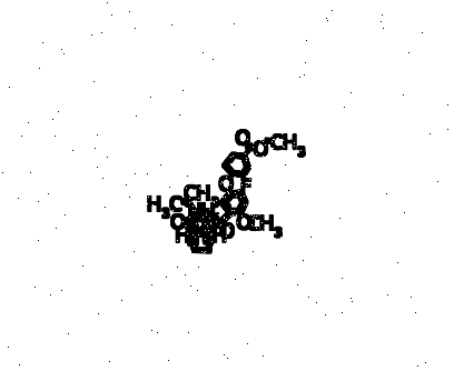 CCOC(=O)[C@H]1CC[C@@H](Oc2cc(C(=O)N[C@@H]3[C@H]4CC[C@H](C4)[C@@H]3C(=O)NC(C)C)c(OC)cc2F)CC1